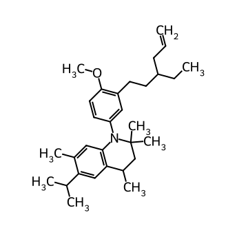 C=CCC(CC)CCc1cc(N2c3cc(C)c(C(C)C)cc3C(C)CC2(C)C)ccc1OC